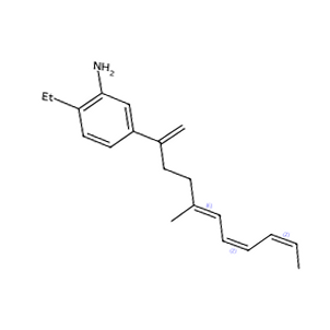 C=C(CC/C(C)=C/C=C\C=C/C)c1ccc(CC)c(N)c1